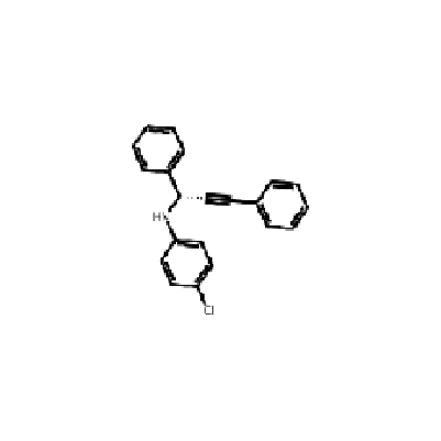 Clc1ccc(N[C@@H](C#Cc2ccccc2)c2ccccc2)cc1